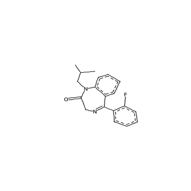 CC(C)CN1C(=O)CN=C(c2ccccc2F)c2ccccc21